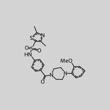 COc1ccccc1N1CCN(C(=O)c2ccc(NS(=O)(=O)c3sc(C)nc3C)cc2)CC1